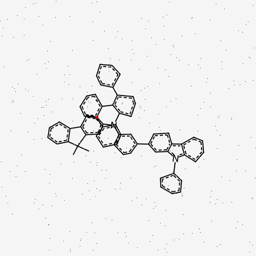 CC1(C)c2ccccc2-c2ccc(N(c3cccc(-c4ccc5c6ccccc6n(-c6ccccc6)c5c4)c3)c3cccc(-c4ccccc4)c3-c3ccccc3-c3ccccc3)cc21